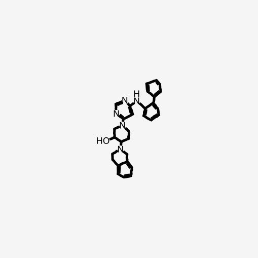 OC1CN(c2cc(Nc3ccccc3-c3ccccc3)ncn2)CCC1N1CCc2ccccc2C1